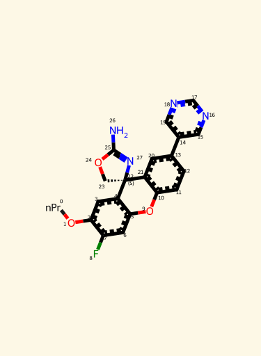 CCCOc1cc2c(cc1F)Oc1ccc(-c3cncnc3)cc1[C@@]21COC(N)=N1